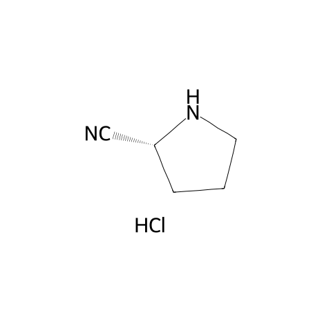 Cl.N#C[C@H]1CCCN1